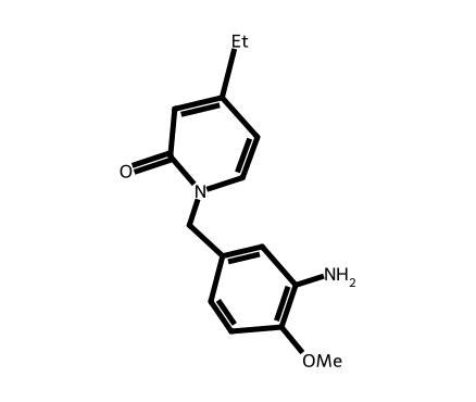 CCc1ccn(Cc2ccc(OC)c(N)c2)c(=O)c1